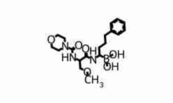 COCC(NC(=O)N1CCOCC1)C(=O)NC(CCCc1ccccc1)B(O)O